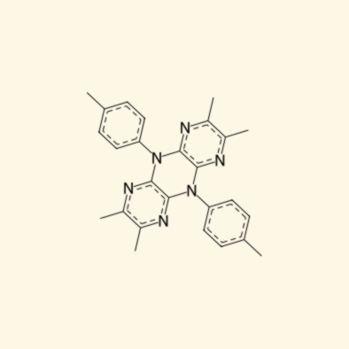 Cc1ccc(N2c3nc(C)c(C)nc3N(c3ccc(C)cc3)c3nc(C)c(C)nc32)cc1